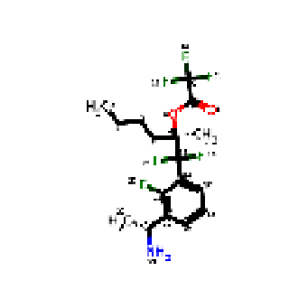 CCCC[C@@](C)(OC(=O)C(F)(F)F)C(F)(F)c1cccc([C@@H](C)N)c1F